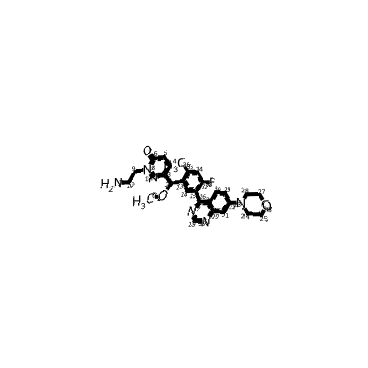 COC(c1ccc(=O)n(CCN)n1)c1cc(-c2ncnc3cc(N4CCOCC4)ccc23)c(F)cc1C